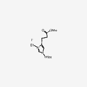 CCCCCCn1cc(CCC(=O)OC)[n+](CC)c1.[I-]